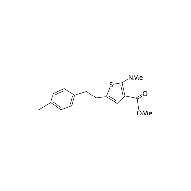 CNc1sc(CCc2ccc(C)cc2)cc1C(=O)OC